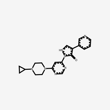 O=c1c(-c2cccnc2)c[nH]n1-c1cc(N2CCN(C3CC3)CC2)ncn1